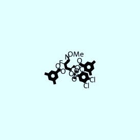 CON=C[C@@H](F)[C@H](OC(=O)c1cc(C)cc(C)c1)[C@@H](COC(=O)c1cc(C)cc(C)c1)OS(=O)(=O)c1cc(Cl)c(Cl)cc1Cl